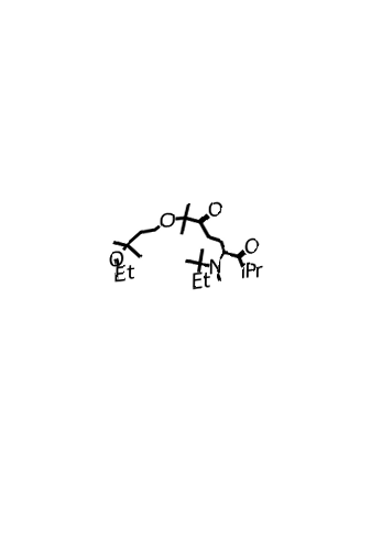 CCOC(C)(C)CCOC(C)(C)C(=O)CCC(C(=O)C(C)C)N(C)C(C)(C)CC